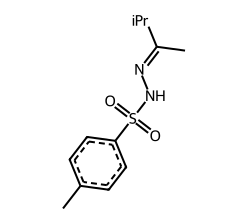 CC(=NNS(=O)(=O)c1ccc(C)cc1)C(C)C